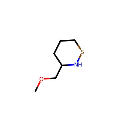 COCC1CCCSN1